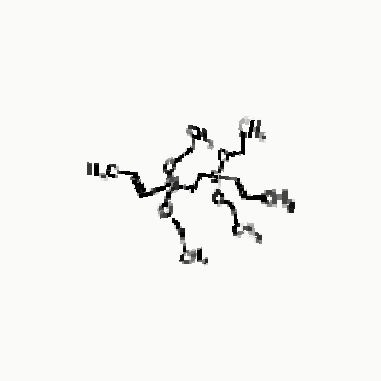 CC=C[Si](CC[Si](C=CC)(OCC)OCC)(OCC)OCC